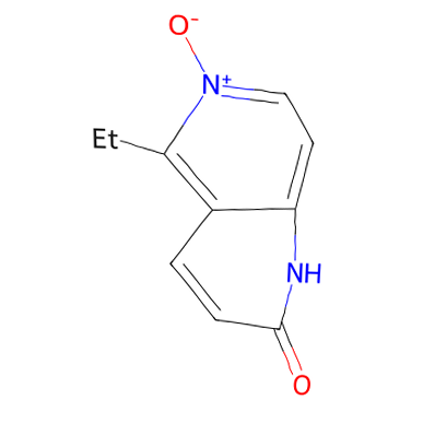 CCc1c2ccc(=O)[nH]c2cc[n+]1[O-]